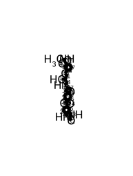 CNS(=O)(=O)c1cccc(OCC(O)CN[C@H]2COC3(CCN(S(=O)(=O)c4ccc5[nH]c(=O)[nH]c5c4)CC3)C2)c1